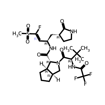 CC(C)(C)[C@@H](NC(=O)C(F)(F)F)C(=O)N1C[C@H]2CCC[C@H]2[C@@H]1C(=O)N[C@@H](/C=C(\F)S(C)(=O)=O)C[C@H]1CCNC1=O